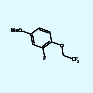 COc1ccc(OCC(F)(F)F)c(F)c1